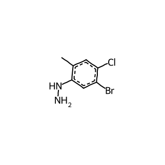 Cc1cc(Cl)c(Br)cc1NN